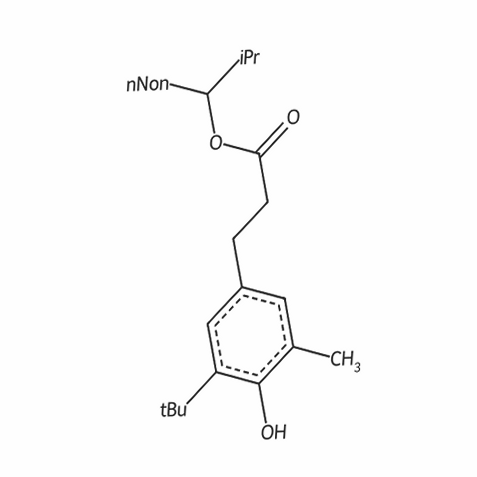 CCCCCCCCCC(OC(=O)CCc1cc(C)c(O)c(C(C)(C)C)c1)C(C)C